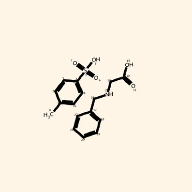 Cc1ccc(S(=O)(=O)O)cc1.O=C(O)CNCc1ccccc1